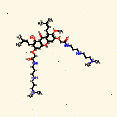 COc1c(OCC(=O)NCCCNCCCN(C)C)cc2oc3cc(OCC(=O)NCCCNCCCN(C)C)c(CC=C(C)C)c(O)c3c(=O)c2c1CC=C(C)C